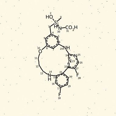 C[SH](O)(Cc1cc2cc(c1)OCCCNc1cc(F)ccc1-c1nc(ncc1F)N2)=NC(=O)O